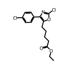 CCOC(=O)CCCCc1oc(Cl)nc1-c1ccc(Cl)cc1